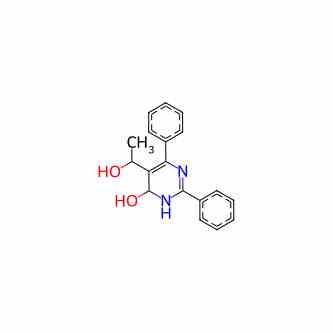 CC(O)C1=C(c2ccccc2)N=C(c2ccccc2)NC1O